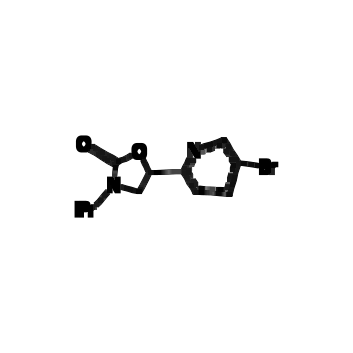 CC(C)N1CC(c2ccc(Br)cn2)OC1=O